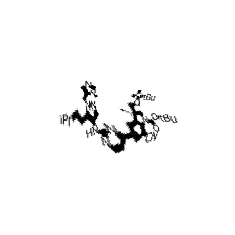 CC(C)CCc1c(Nc2nccc(-c3cc(C#N)c4c(c3)[C@@](C)(CO[Si](C)(C)C(C)(C)C)CN4C(=O)OC(C)(C)C)n2)cnn1Cc1cncn1C